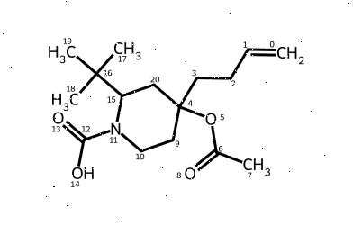 C=CCCC1(OC(C)=O)CCN(C(=O)O)C(C(C)(C)C)C1